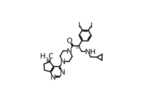 C[C@@H]1CCc2ncnc(N3CCN(C(=O)[C@H](CNCC4CC4)c4ccc(I)c(I)c4)CC3)c21